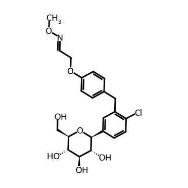 CO/N=C/COc1ccc(Cc2cc([C@@H]3O[C@H](CO)[C@@H](O)[C@H](O)[C@H]3O)ccc2Cl)cc1